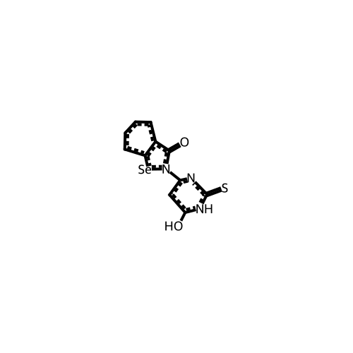 O=c1c2ccccc2[se]n1-c1cc(O)[nH]c(=S)n1